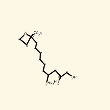 CCCCCCCCCC(CCCCCCC1(C(=O)O)CCO1)CC(O)CO